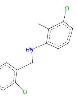 Cc1c(Cl)cccc1NCc1ccccc1Cl